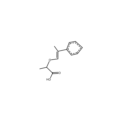 CC(=COC(C)C(=O)O)c1ccccc1